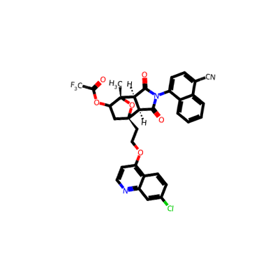 C[C@@]12O[C@@](CCOc3ccnc4cc(Cl)ccc34)(CC1OC(=O)C(F)(F)F)[C@@H]1C(=O)N(c3ccc(C#N)c4ccccc34)C(=O)[C@@H]12